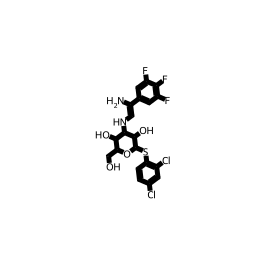 N/C(=C\NC1C(O)C(CO)OC(Sc2ccc(Cl)cc2Cl)C1O)c1cc(F)c(F)c(F)c1